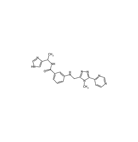 CC(NC(=O)c1cccc(NCc2nnc(-c3ccncn3)n2C)c1)c1c[nH]cn1